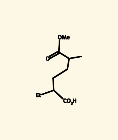 CCC(CCC(C)C(=O)OC)C(=O)O